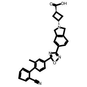 Cc1cc(-c2nc(-c3ccc4c(c3)CN([C@H]3C[C@H](C(=O)O)C3)C4)no2)ccc1-c1ccccc1C#N